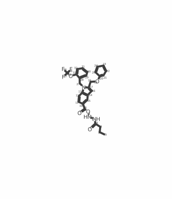 CCCC(=O)NNOC(=O)c1ccc2c(c1)cc(COc1ccccc1)n2Cc1ccccc1OC(F)(F)F